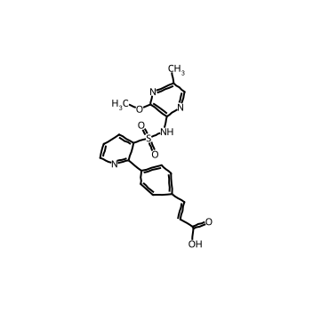 COc1nc(C)cnc1NS(=O)(=O)c1cccnc1-c1ccc(/C=C/C(=O)O)cc1